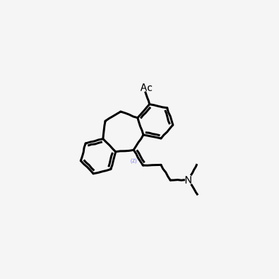 CC(=O)c1cccc2c1CCc1ccccc1/C2=C/CCN(C)C